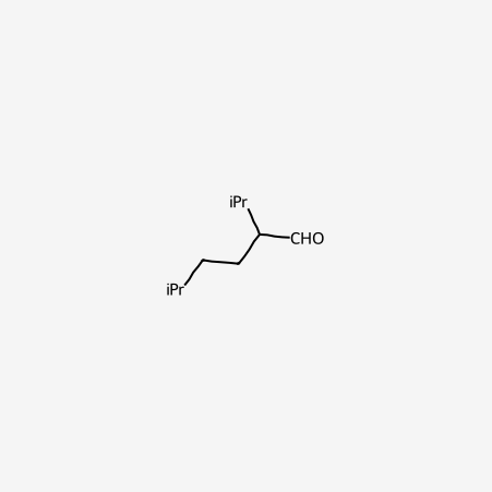 CC(C)CCC(C=O)C(C)C